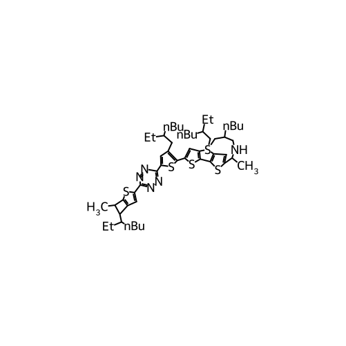 CCCCC(CC)Cc1cc(-c2nnc(-c3cc4c(s3)C(C)C4C(CC)CCCC)nn2)sc1-c1cc2c(s1)-c1sc3cc1S2(CC(CC)CCCC)CC(CCCC)CNC3C